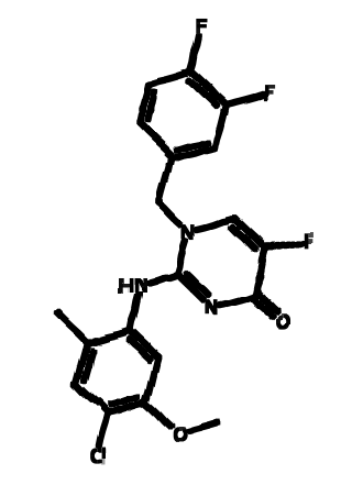 COc1cc(Nc2nc(=O)c(F)cn2Cc2ccc(F)c(F)c2)c(C)cc1Cl